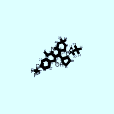 CC(C)c1nc2c(c(C3=CCCC3)c1[C@H](O)c1ccc(OC(F)(F)F)cc1)C(O[Si](C)(C)C(C)(C)C)CC(C)(C)C2